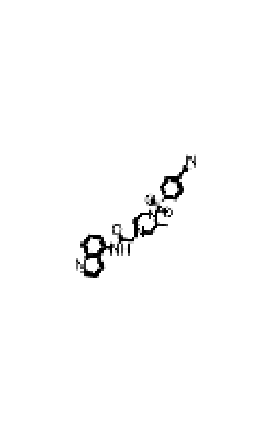 C[C@H]1CN(CC(=O)Nc2cccc3ncccc23)CCN1S(=O)(=O)c1ccc(C#N)cc1